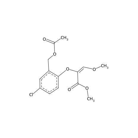 COC=C(Oc1ccc(Cl)cc1COC(C)=O)C(=O)OC